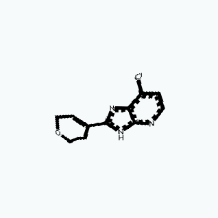 Clc1ccnc2[nH]c(C3=CCOCC3)nc12